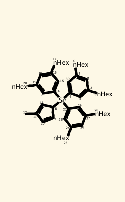 CCCCCCc1cc(CCCCCC)cc([Si]([C]2C=CC(C)=C2)(c2cc(CCCCCC)cc(CCCCCC)c2)c2cc(CCCCCC)cc(CCCCCC)c2)c1